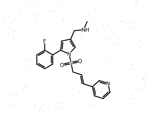 CNCc1cc(-c2ccccc2F)n(S(=O)(=O)CC=Cc2cccnc2)c1